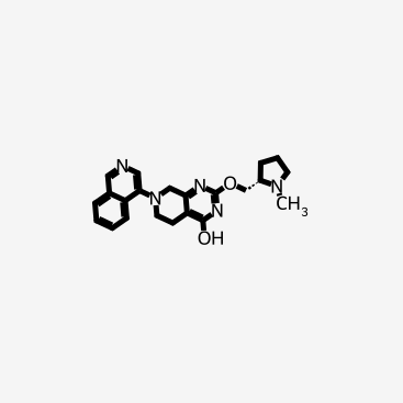 CN1CCC[C@H]1COc1nc(O)c2c(n1)CN(c1cncc3ccccc13)CC2